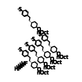 CCCCCCCCO[C@H]1CC[C@H](CCc2ccc([S])cc2)CC1.CCCCCCCCO[C@H]1CC[C@H](CCc2ccc([S])cc2)CC1.CCCCCCCCO[C@H]1CC[C@H](CCc2ccc([S])cc2)CC1.CCCCCCCCO[C@H]1CC[C@H](CCc2ccc([S])cc2)CC1.CCCCCCCCO[C@H]1CC[C@H](CCc2ccc([S])cc2)CC1.F.F.F.F.F